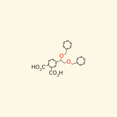 O=C(O)c1ccc(C(COCc2ccccc2)OCc2ccccc2)cc1C(=O)O